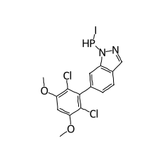 COc1cc(OC)c(Cl)c(-c2ccc3cnn(PI)c3c2)c1Cl